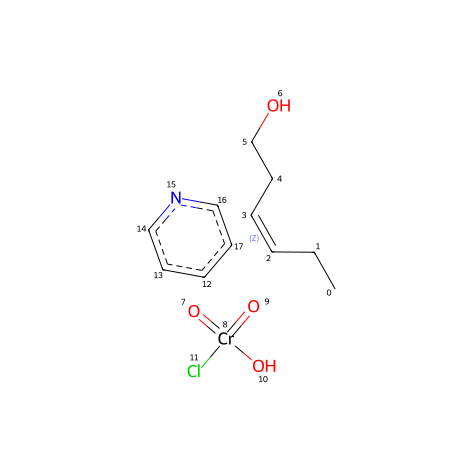 CC/C=C\CCO.[O]=[Cr](=[O])([OH])[Cl].c1ccncc1